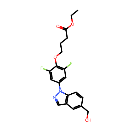 CCOC(=O)CCCOc1c(F)cc(-n2ncc3cc(CO)ccc32)cc1F